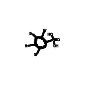 O=P(O)(O)c1cc(Br)c(Br)c(Br)c1Br